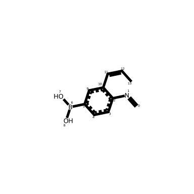 C=Nc1ccc(B(O)O)cc1/C=C\C